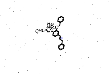 O=CC1CN(c2ccc(/C=C/Cc3ccccc3)cc2OCc2ccccc2)S(=O)(=O)N1